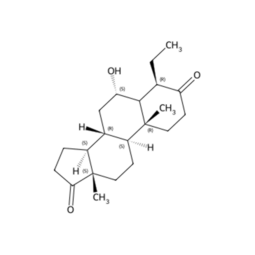 CC[C@H]1C(=O)CC[C@@]2(C)C1[C@@H](O)C[C@@H]1[C@@H]2CC[C@]2(C)C(=O)CC[C@@H]12